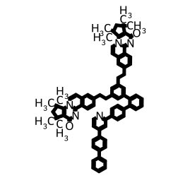 CC1(C)CC(C)(C)c2c1c(=O)nc1c3ccc(CCc4cc(CCc5ccc6c(ccn7c8c(c(=O)nc67)C(C)(C)CC8(C)C)c5)cc(-c5ccccc5-c5ccc(-c6cc(-c7ccc(-c8ccccc8)cc7)ccn6)cc5)c4)cc3ccn21